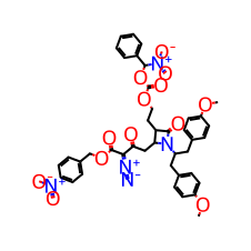 COc1ccc(CC(Cc2ccc(OC)cc2)N2C(=O)C(CCOC(=O)OC(c3ccccc3)[N+](=O)[O-])C2CC(=O)C(=[N+]=[N-])C(=O)OCc2ccc([N+](=O)[O-])cc2)cc1